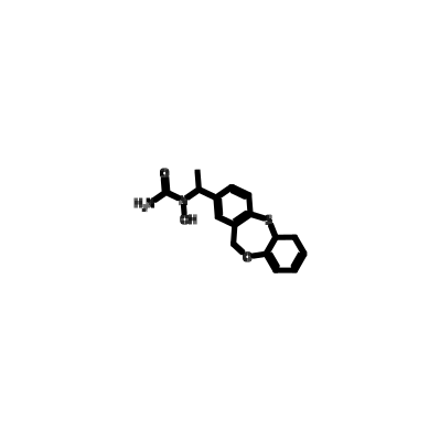 CC(c1ccc2c(c1)COC1=CC=CCC1S2)N(O)C(N)=O